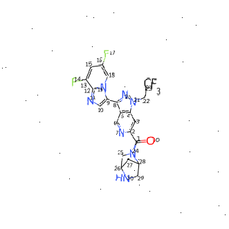 O=C(c1cc2c(cn1)c(-c1cnc3c(F)cc(F)cn13)nn2CC(F)(F)F)N1CC2CC1CN2